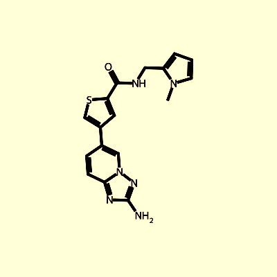 Cn1cccc1CNC(=O)c1cc(-c2ccc3nc(N)nn3c2)cs1